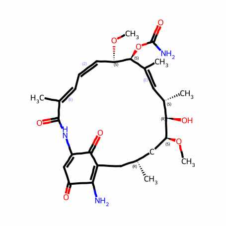 CO[C@H]1/C=C\C=C(/C)C(=O)NC2=CC(=O)C(N)=C(C[C@@H](C)C[C@H](OC)[C@H](O)[C@@H](C)/C=C(\C)[C@@H]1OC(N)=O)C2=O